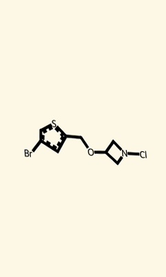 ClN1CC(OCc2cc(Br)cs2)C1